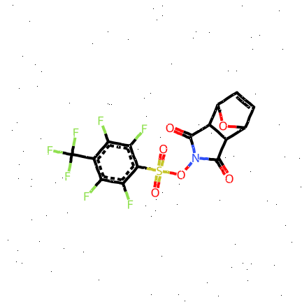 O=C1C2C3C=CC(O3)C2C(=O)N1OS(=O)(=O)c1c(F)c(F)c(C(F)(F)F)c(F)c1F